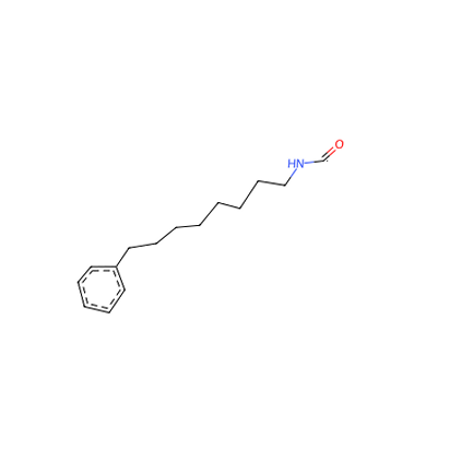 O=[C]NCCCCCCCCc1ccccc1